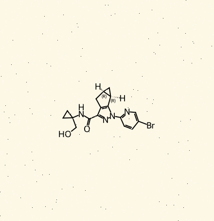 O=C(NC1(CO)CC1)c1nn(-c2ccc(Br)cn2)c2c1C[C@H]1C[C@@H]21